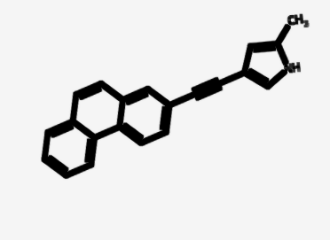 Cc1cc(C#Cc2ccc3c(ccc4ccccc43)c2)c[nH]1